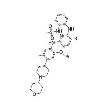 Cc1cc(Nc2ncc(Cl)c(Nc3ccccc3NS(C)(=O)=O)n2)c(OC(C)C)cc1C1=CCN(C2CCOCC2)CC1